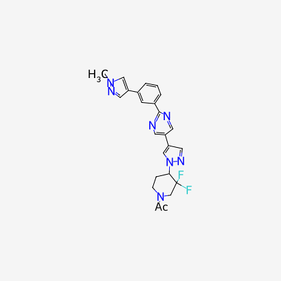 CC(=O)N1CCC(n2cc(-c3cnc(-c4cccc(-c5cnn(C)c5)c4)nc3)cn2)C(F)(F)C1